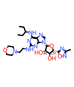 CCC(CC)Nc1nc(NCCN2CCOCC2)nc2c1ncn2[C@@H]1O[C@H](c2nc(C)no2)[C@@H](O)[C@H]1O